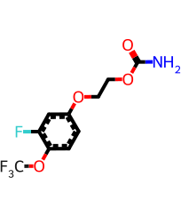 NC(=O)OCCOc1ccc(OC(F)(F)F)c(F)c1